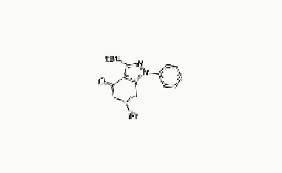 CC(C)C1CC(=O)c2c(C(C)(C)C)nn(-c3ccccc3)c2C1